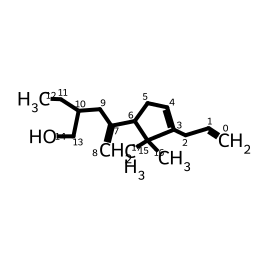 C=CCC1=CCC(C(=C)CC(CC)CO)C1(C)C